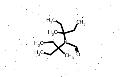 CCC(C)(CC)N(C=O)C(C)(CC)CC